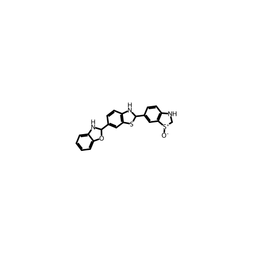 [O-][S+]1CNc2ccc(C3Nc4ccc(C5Nc6ccccc6O5)cc4S3)cc21